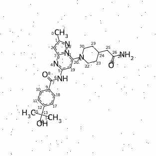 Cc1cc2nc(NC(=O)c3ccc(C(C)(C)O)cc3)cc(N3CCC(CC(N)=O)CC3)n2n1